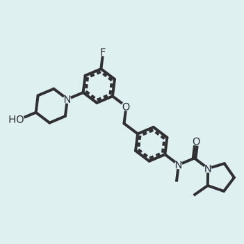 CC1CCCN1C(=O)N(C)c1ccc(COc2cc(F)cc(N3CCC(O)CC3)c2)cc1